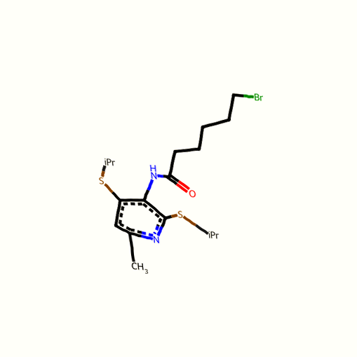 Cc1cc(SC(C)C)c(NC(=O)CCCCCBr)c(SC(C)C)n1